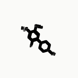 COc1cc(N2CCN(C(C)C)CC2)c(F)cc1C